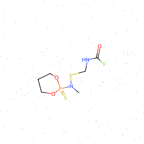 CN(SCNC(=O)F)P1(=S)OCCCO1